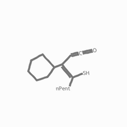 CCCCC/C(S)=C(/C=C=O)C1CCCCC1